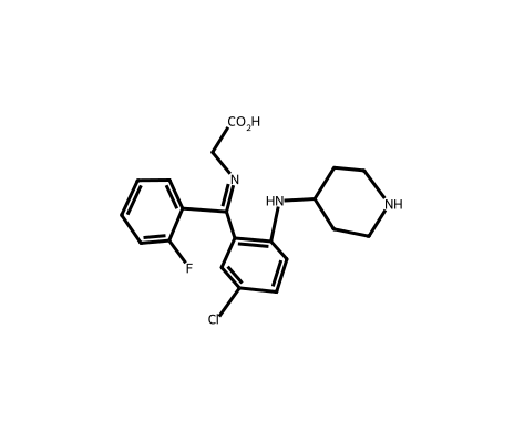 O=C(O)C/N=C(\c1ccccc1F)c1cc(Cl)ccc1NC1CCNCC1